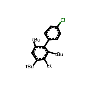 CCc1c(C(C)(C)C)cc(C(C)(C)C)c(-c2ccc(Cl)cc2)c1C(C)(C)C